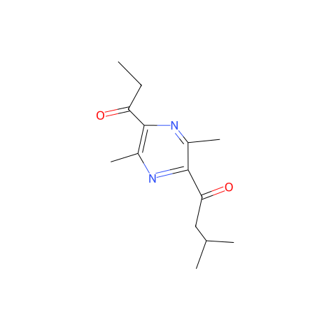 CCC(=O)c1nc(C)c(C(=O)CC(C)C)nc1C